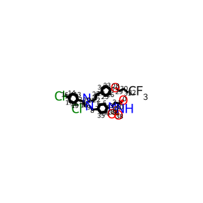 O=C1CN(c2ccc(Cn3cc(-c4ccc(Cl)cc4Cl)nc3C=Cc3ccc(OCCCC(F)(F)F)cc3)cc2)S(=O)(=O)N1